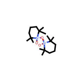 CC1(C)CCCC(C)(C)[N+]1([O-])O[N+]1([O-])C(C)(C)CCCC1(C)C